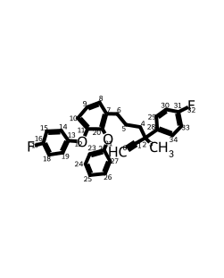 C#CC(C)(CCCc1cccc(Oc2ccc(F)cc2)c1Oc1ccccc1)c1ccc(F)cc1